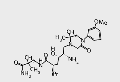 COc1cccc(N2CC(C)(C)N(C[C@H](N)[C@@H](O)C[C@H](C(=O)NCC(C)(C)C(N)=O)C(C)C)CC2=O)c1